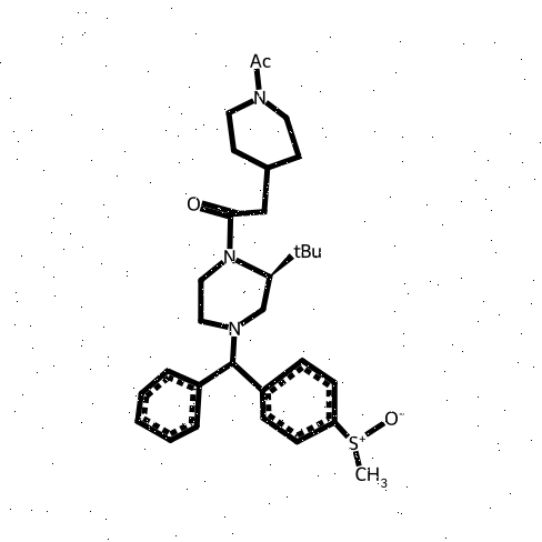 CC(=O)N1CCC(CC(=O)N2CCN(C(c3ccccc3)c3ccc([S+](C)[O-])cc3)C[C@@H]2C(C)(C)C)CC1